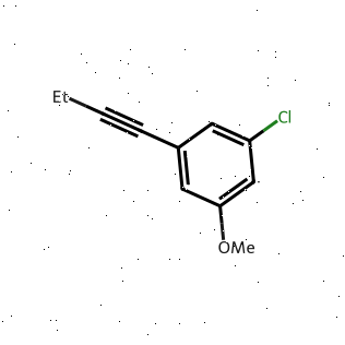 CCC#Cc1cc(Cl)[c]c(OC)c1